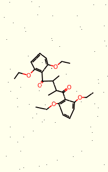 CCOc1cccc(OCC)c1C(=O)[C](C)C(C)C(=O)c1c(OCC)cccc1OCC